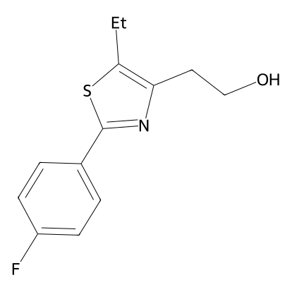 CCc1sc(-c2ccc(F)cc2)nc1CCO